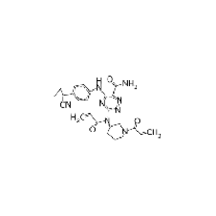 C=CC(=O)N1CCC[C@@H](N(C(=O)C=C)c2nnc(C(N)=O)c(Nc3ccc(C4(C#N)CC4)cc3)n2)C1